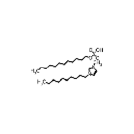 CCCCCCCCCCCCOS(=O)(=O)O.CCCCCCCCCCN1C=CN(C)C1